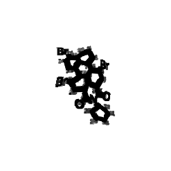 O=C1c2cc(Br)c3c4cccc5c(Br)ccc(c6c(Br)cc(c2c36)C(=O)N1C1CCCCC1)c54